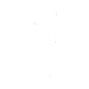 C=CC(=C)N(C(=C)/C=C(C)\C=C/CC/C=C\C)C(C)C